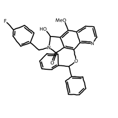 COc1c2c(c(OC(c3ccccc3)c3ccccc3)c3ncccc13)C(=O)N(Cc1ccc(F)cc1)C2O